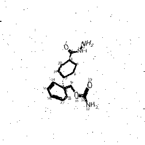 NNC(=O)[C@H]1CC[C@H](C2(COC(N)=O)C=CC=CC2)CC1